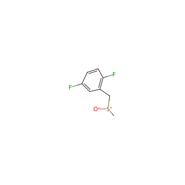 C[S+]([O-])Cc1cc(F)ccc1F